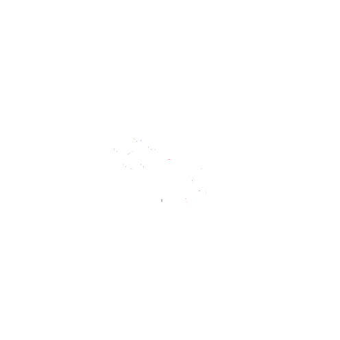 CC[C@@H](OP(=O)(N[C@@H](C)C(=O)OC(C)C)Oc1ccccc1)[C@H]1O[C@@H](n2cnc3c(N)ncnc32)[C@H](O)[C@@H]1O